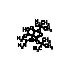 CC(N)NC(C(=O)O)(C(=O)OC(C)(C)C)C(=O)OC(C)(C)C